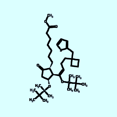 COC(=O)CCCCCC[C@H]1C(=O)C[C@@H](O[Si](C)(C)C(C)(C)C)[C@@H]1/C(=C\CCC1(Cc2cccs2)CCC1)O[Si](C)(C)C(C)(C)C